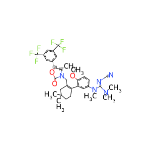 COc1ccc(N(C)C(=NC#N)N(C)C)cc1C1=C(CN2C(=O)O[C@H](c3cc(C(F)(F)F)cc(C(F)(F)F)c3)[C@@H]2C)CC(C)(C)CC1